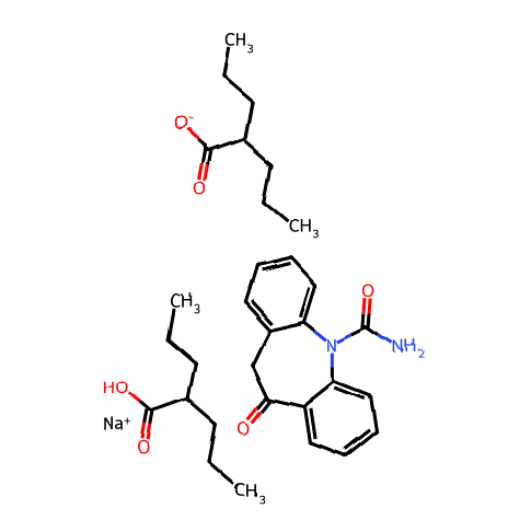 CCCC(CCC)C(=O)O.CCCC(CCC)C(=O)[O-].NC(=O)N1c2ccccc2CC(=O)c2ccccc21.[Na+]